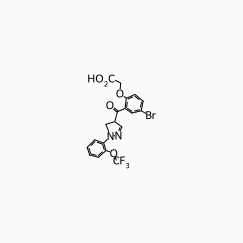 O=C(O)COc1ccc(Br)cc1C(=O)C1C=NN(c2ccccc2OC(F)(F)F)C1